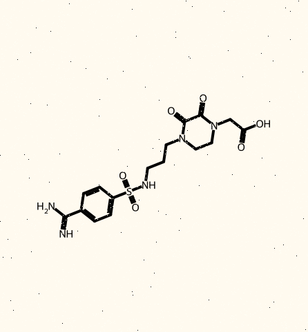 N=C(N)c1ccc(S(=O)(=O)NCCCN2CCN(CC(=O)O)C(=O)C2=O)cc1